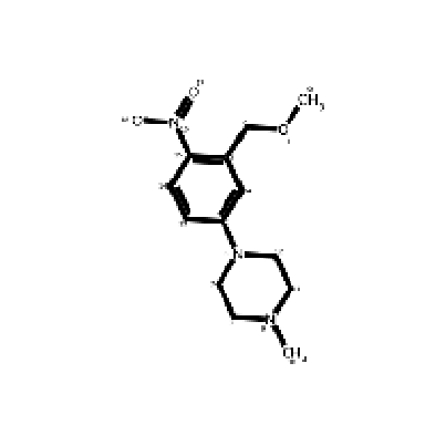 COCc1cc(N2CCN(C)CC2)ccc1[N+](=O)[O-]